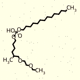 CCCCCCCCCCCCCCOP(=O)(O)OCCCCC(C)COCCOCC